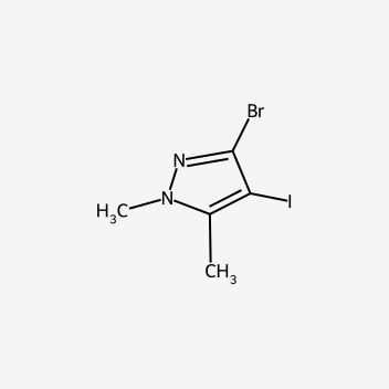 Cc1c(I)c(Br)nn1C